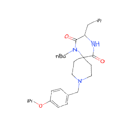 CCCCN1C(=O)C(CC(C)C)NC(=O)C12CCN(Cc1ccc(OC(C)C)cc1)CC2